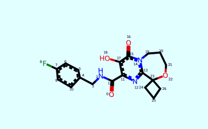 O=C(NCc1ccc(F)cc1)c1nc2n(c(=O)c1O)CCCOC21CCC1